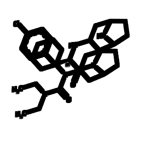 CCN(CC)C(=O)N(C1CCCCC1)C1CC2CCC(C1)N2C(=O)[C@@H](Cc1ccc(Cl)cc1)NC1CC2CCC(C1)N2